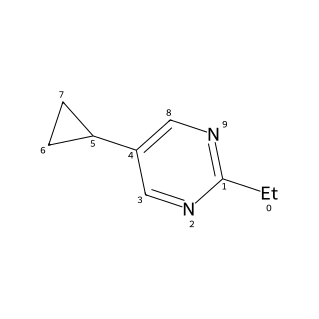 CCc1ncc(C2CC2)cn1